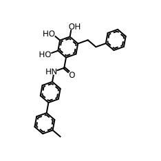 Cc1cccc(-c2ccc(NC(=O)c3cc(CCc4ccccc4)c(O)c(O)c3O)cc2)c1